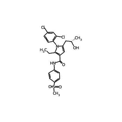 CCc1c(C(=O)Nc2ccc(S(C)(=O)=O)cc2)cc(C[C@H](C)O)n1-c1ccc(Cl)cc1Cl